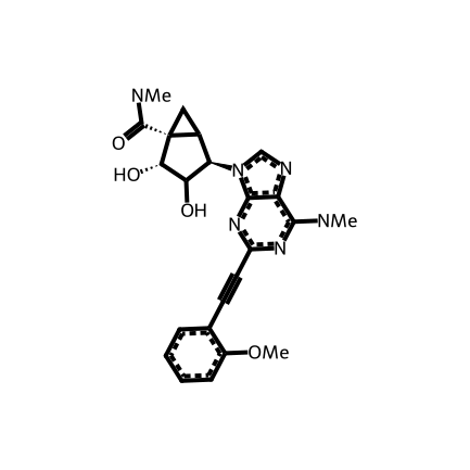 CNC(=O)[C@]12CC1[C@@H](n1cnc3c(NC)nc(C#Cc4ccccc4OC)nc31)C(O)[C@@H]2O